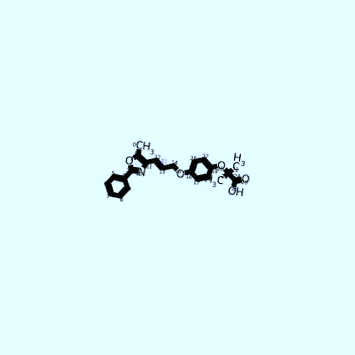 Cc1oc(-c2ccccc2)nc1/C=C/COc1ccc(OC(C)(C)C(=O)O)cc1